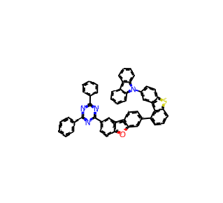 c1ccc(-c2nc(-c3ccccc3)nc(-c3ccc4oc5cc(-c6cccc7sc8ccc(-n9c%10ccccc%10c%10ccccc%109)cc8c67)ccc5c4c3)n2)cc1